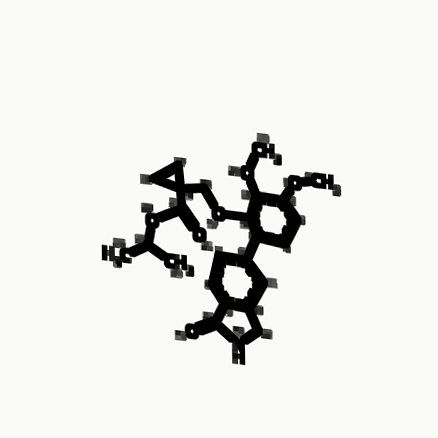 COc1ccc(-c2ccc3c(c2)CNC3=O)c(OCC2(C(=O)OC(C)C)CC2)c1OC